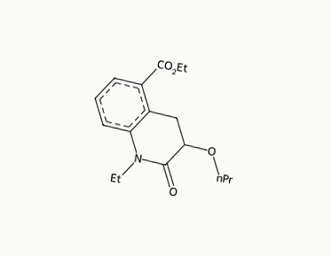 CCCOC1Cc2c(C(=O)OCC)cccc2N(CC)C1=O